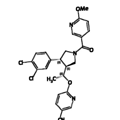 COc1ccc(C(=O)N2C[C@@H]([C@@H](C)Oc3ccc(C#N)cn3)[C@H](c3ccc(Cl)c(Cl)c3)C2)cn1